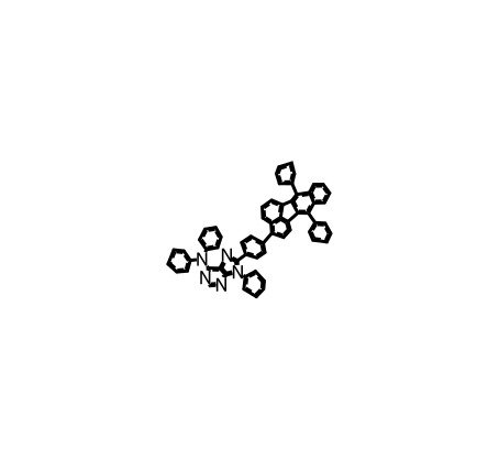 c1ccc(-c2c3c(c(-c4ccccc4)c4ccccc24)-c2ccc(-c4ccc(-c5nc6c(N(c7ccccc7)c7ccccc7)ncnc6n5-c5ccccc5)cc4)c4cccc-3c24)cc1